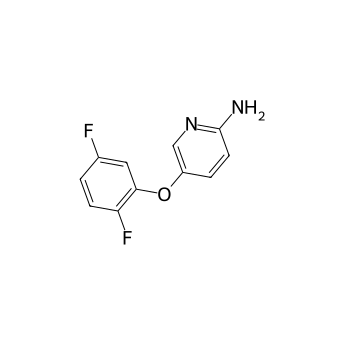 Nc1ccc(Oc2cc(F)ccc2F)cn1